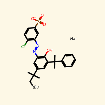 CC(C)(C)CC(C)(C)c1cc(N=Nc2cc(S(=O)(=O)[O-])ccc2Cl)c(O)c(C(C)(C)c2ccccc2)c1.[Na+]